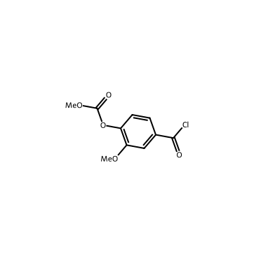 COC(=O)Oc1ccc(C(=O)Cl)cc1OC